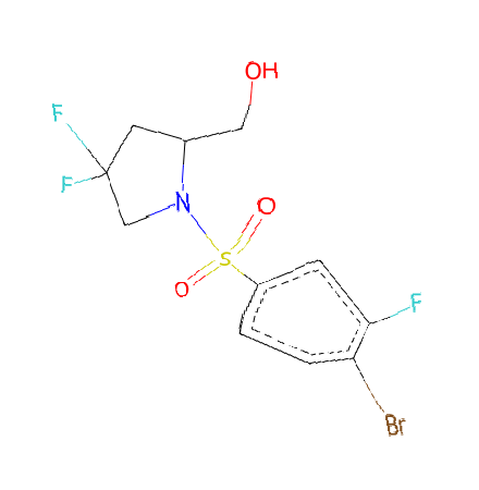 O=S(=O)(c1ccc(Br)c(F)c1)N1CC(F)(F)CC1CO